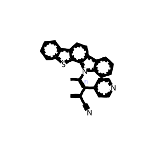 C=C(C#N)/C(=C(\C)n1c2ccccc2c2ccc3c4ccccc4sc3c21)c1ccncc1